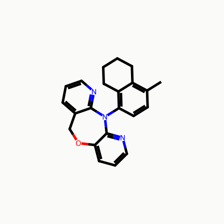 Cc1ccc(N2c3ncccc3COc3cccnc32)c2c1CCCC2